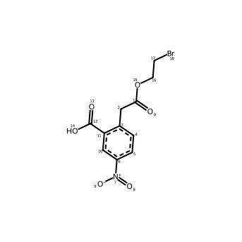 O=C(Cc1ccc([N+](=O)[O-])cc1C(=O)O)OCCBr